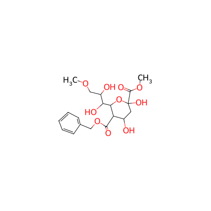 COCC(O)C(O)C1OC(O)(C(=O)OC)CC(O)C1C(=O)OCc1ccccc1